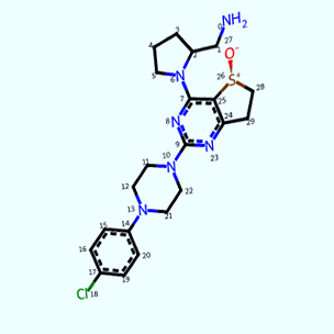 NCC1CCCN1c1nc(N2CCN(c3ccc(Cl)cc3)CC2)nc2c1[S@@+]([O-])CC2